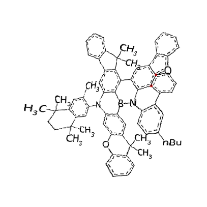 CCCCc1ccc(N2B3c4cc5c(cc4N(c4cc6c(cc4C)C(C)(C)CCC6(C)C)c4cc6c(c(c43)-c3cc4c(cc32)oc2ccccc24)C(C)(C)c2ccccc2-6)Oc2ccccc2C5(C)C)c(-c2ccccc2)c1